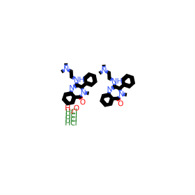 CN(C)CCNC1=Nc2ccccc2C(=O)N(C)C1c1ccccc1.CN(C)CCNC1=Nc2ccccc2C(=O)N(C)C1c1ccccc1.Cl.Cl.Cl.Cl.O